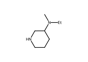 CCN(C)C1CCCNC1